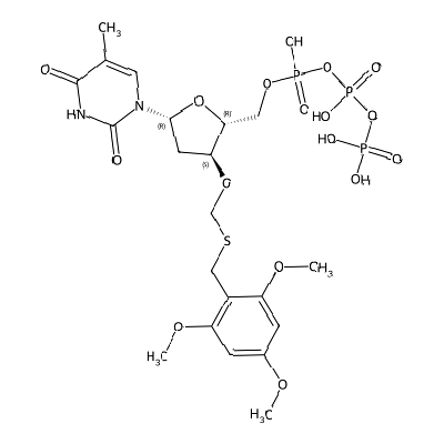 COc1cc(OC)c(CSCO[C@H]2C[C@H](n3cc(C)c(=O)[nH]c3=O)O[C@@H]2COP(=O)(O)OP(=O)(O)OP(=O)(O)O)c(OC)c1